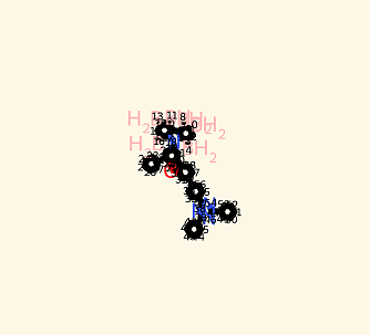 Bc1cc(B)c2c(c1B)c1c(B)c(B)cc(B)c1n2-c1cc(-c2ccccc2)c2oc3cc(-c4ccc(-c5nc(-c6ccccc6)nc(-c6ccccc6)n5)cc4)ccc3c2c1